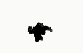 COc1ccc(C(OCC2OC(n3ccc(=O)[nH]c3=O)C(OC)C2OP(OCCC#N)N(C(C)C)C(C)C)(c2ccccc2)c2ccc(OC)cc2)cc1